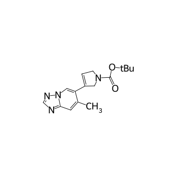 Cc1cc2ncnn2cc1C1=CCN(C(=O)OC(C)(C)C)C1